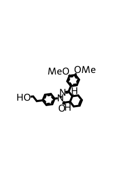 COc1ccc(C2=NN(c3ccc(CCO)cc3)C(=O)[C@@H]3CC=CC[C@H]23)cc1OC